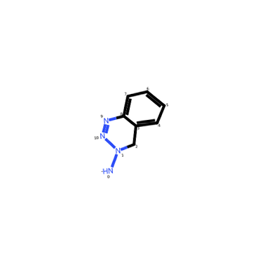 [NH]N1Cc2ccccc2N=N1